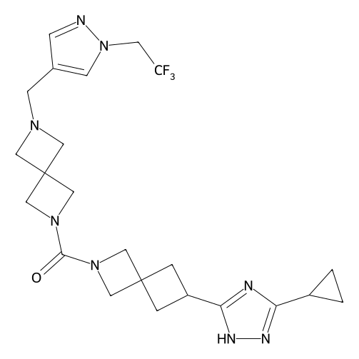 O=C(N1CC2(CC(c3nc(C4CC4)n[nH]3)C2)C1)N1CC2(CN(Cc3cnn(CC(F)(F)F)c3)C2)C1